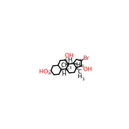 C[C@]12CC[C@H]3[C@@H]([C@@H](O)CC4C[C@@H](O)CC[C@@]43C)[C@@H]1C[C@@H](Br)[C@@H]2O